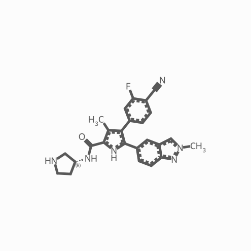 Cc1c(C(=O)N[C@@H]2CCNC2)[nH]c(-c2ccc3nn(C)cc3c2)c1-c1ccc(C#N)c(F)c1